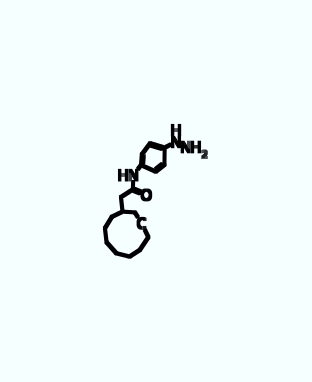 NNc1ccc(NC(=O)CC2CCCCCCCCC2)cc1